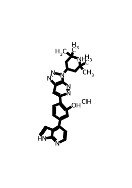 CC1(C)CC(n2nnc3cc(-c4ccc(-c5ccnc6[nH]ccc56)cc4O)nnc32)CC(C)(C)N1.Cl